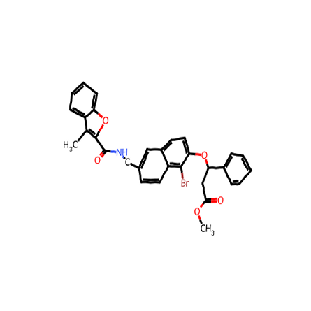 COC(=O)CC(Oc1ccc2cc(CNC(=O)c3oc4ccccc4c3C)ccc2c1Br)c1ccccc1